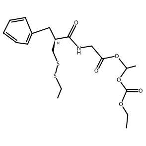 CCOC(=O)OC(C)OC(=O)CNC(=O)[C@@H](CSSCC)Cc1ccccc1